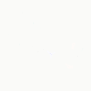 O=C(C1=C(O)c2ccc3c(sc4ccccc43)c2N(c2c(F)c(F)c(-c3c(F)c(F)c(F)c(F)c3F)c(F)c2F)C1)C(F)(F)F